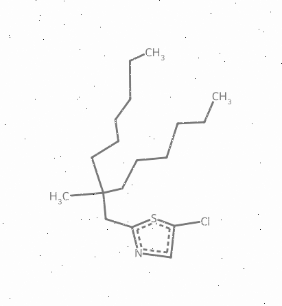 CCCCCCC(C)(CCCCCC)Cc1ncc(Cl)s1